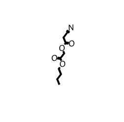 CCCCOC(=O)COC(=O)CC#N